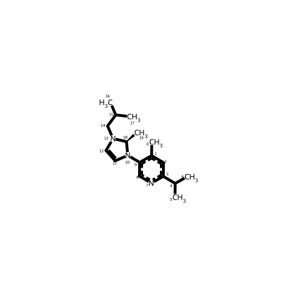 Cc1cc(C(C)C)ncc1N1C=CN(CC(C)C)[C@H]1C